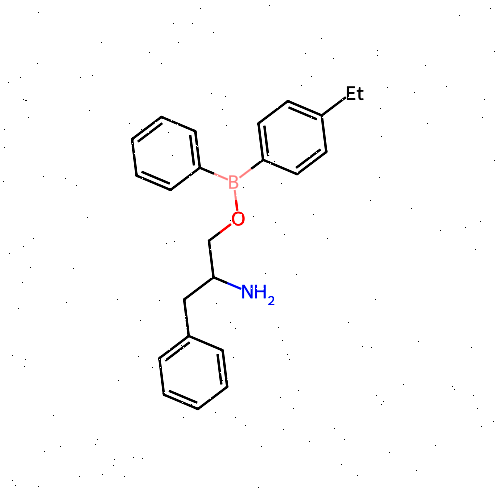 CCc1ccc(B(OCC(N)Cc2ccccc2)c2ccccc2)cc1